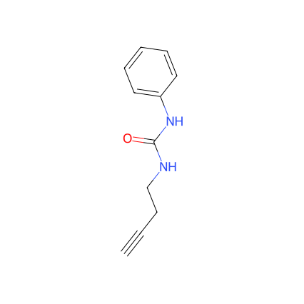 C#CCCNC(=O)Nc1ccccc1